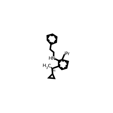 CC(C)c1cccc([C@H](C)C2CC2)c1NCCc1ccccc1